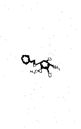 COc1c(OCc2ccccc2)cc(Cl)c(N)c1Cl